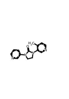 Cc1ccncc1N1CCN(c2cccnc2)C1=O